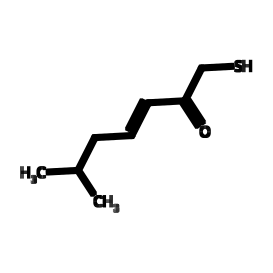 CC(C)CC=CC(=O)CS